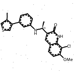 COc1ccc2cc([C@H](C)Nc3cccc(-c4cscc4C)c3)c(=O)[nH]c2c1Cl